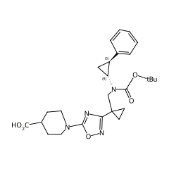 CC(C)(C)OC(=O)N(CC1(c2noc(N3CCC(C(=O)O)CC3)n2)CC1)[C@@H]1C[C@H]1c1ccccc1